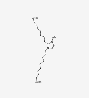 CCCCCCCCCCCCCCCCCCCN1C=CN(CCC)C1CCCCCCCCCCCCCCCCC